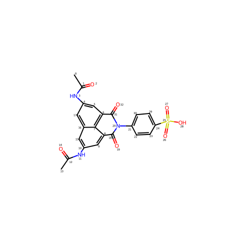 CC(=O)Nc1cc2c3c(cc(NC(C)=O)cc3c1)C(=O)N(c1ccc(S(=O)(=O)O)cc1)C2=O